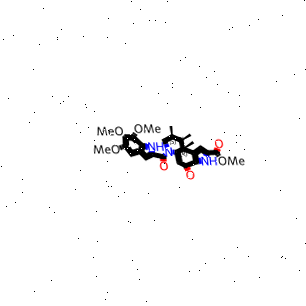 COC(=O)c1cc2c([nH]1)C(=O)C=C1N(C(=O)c3cc4cc(OC)c(OC)c(OC)c4[nH]3)C[C@@H](C)[C@@H](C)[C@@]12C